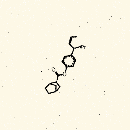 C/C=C\C(c1ccc(OC(=O)C2CC3CCC2C3)cc1)C(C)C